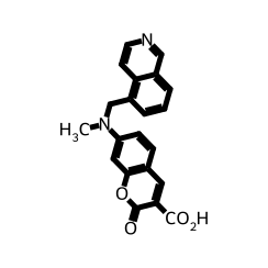 CN(Cc1cccc2cnccc12)c1ccc2cc(C(=O)O)c(=O)oc2c1